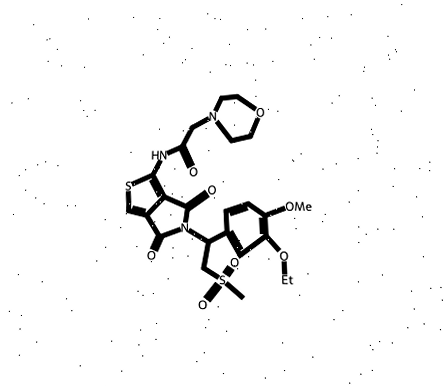 CCOc1cc(C(CS(C)(=O)=O)N2C(=O)c3csc(NC(=O)CN4CCOCC4)c3C2=O)ccc1OC